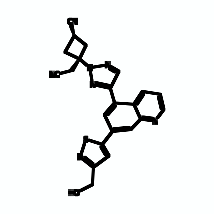 N#CC[C@]1(n2ncc(-c3cc(-c4cc(CO)ns4)cc4ncccc34)n2)C[C@H](C#N)C1